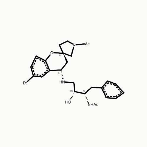 CCc1ccc2c(c1)[C@@H](NC[C@@H](O)[C@H](Cc1ccccc1)NC(C)=O)C[C@]1(CCN(C(C)=O)C1)O2